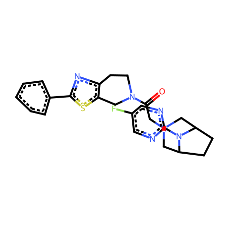 O=C(CN1CC2CCC(C1)N2c1ncc(F)cn1)N1CCc2nc(-c3ccccc3)sc2C1